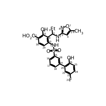 CCC(Nc1cc(C)on1)c1c(NS(=O)(=O)c2cccc(-c3cc(F)ccc3O)c2)ccc(C(=O)O)c1O